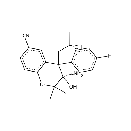 CC(O)CC1(c2ccc(F)cc2)c2cc(C#N)ccc2OC(C)(C)[C@]1(N)O